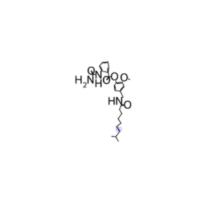 COc1cc(CNC(=O)CCCC/C=C/C(C)C)ccc1OC(=O)c1ccccc1NC(N)=O